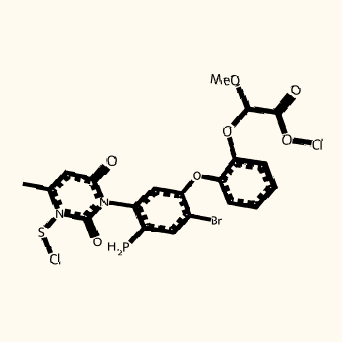 COC(Oc1ccccc1Oc1cc(-n2c(=O)cc(C)n(SCl)c2=O)c(P)cc1Br)C(=O)OCl